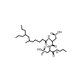 CCCNC(=O)C(CS(=O)(=O)O)NC(=O)C(CS(=O)O)NC(=O)CCCCC(C)CC(CCC)CCC